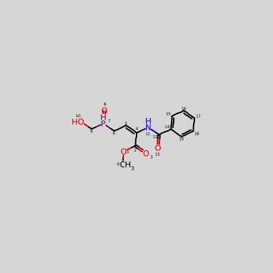 COC(=O)/C(=C\C[PH](=O)CO)NC(=O)c1ccccc1